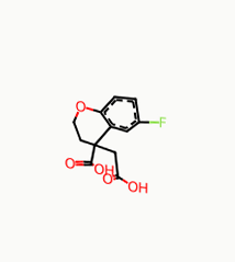 O=C(O)CC1(C(=O)O)CCOc2ccc(F)cc21